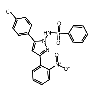 O=[N+]([O-])c1ccccc1-c1cc(-c2ccc(Cl)cc2)n(NS(=O)(=O)c2ccccc2)n1